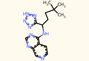 CC(C)(C)CCC(Nc1ncnc2cnccc12)c1nn[nH]n1